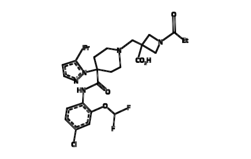 CCC(=O)N1CC(CN2CCC(C(=O)Nc3ccc(Cl)cc3OC(F)F)(n3nccc3C(C)C)CC2)(C(=O)O)C1